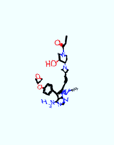 C=CC(=O)N1CC[C@@H](N2CC(C#Cc3c(-c4ccc(OC5COC5)cc4)c4c(N)ncnc4n3C(C)C)C2)[C@@H](O)C1